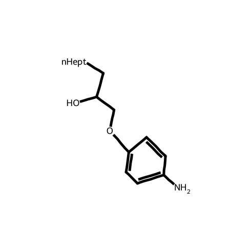 CCCCCCCCC(O)COc1ccc(N)cc1